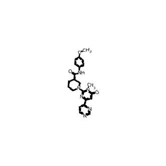 COc1ccc(NC(=O)C2CCCN(c3nc(-c4ccncn4)cc(=O)n3C)C2)cc1